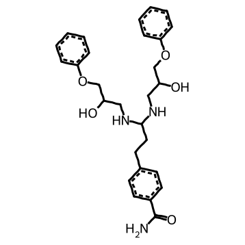 NC(=O)c1ccc(CCC(NCC(O)COc2ccccc2)NCC(O)COc2ccccc2)cc1